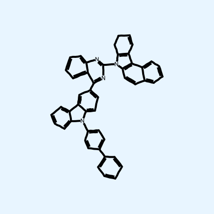 C1=Cc2c(n(-c3nc(-c4ccc5c(c4)c4ccccc4n5-c4ccc(-c5ccccc5)cc4)c4ccccc4n3)c3ccc4ccccc4c23)CC1